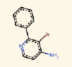 Nc1ccnc(-c2ccccc2)c1Br